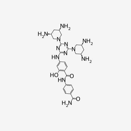 NC(=O)c1ccc(NC(=O)c2ccc(Nc3nc(N4C[C@H](N)C[C@H](N)C4)nc(N4C[C@H](N)C[C@H](N)C4)n3)cc2O)cc1